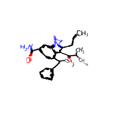 CCCc1[nH]c2cc(C(N)=O)cc(C(C)c3ccccc3)c2c1C(=O)C(C)C